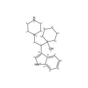 OC1(C(CN2CCNCC2)c2c[nH]c3ccccc23)CCCCC1